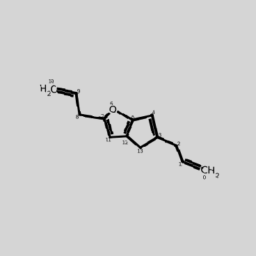 C=CCC1=Cc2oc(CC=C)cc2C1